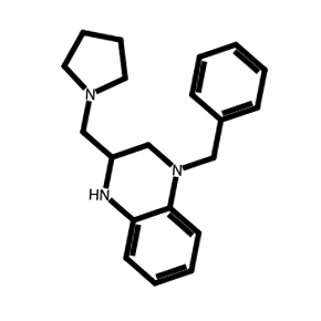 c1ccc(CN2CC(CN3CCCC3)Nc3ccccc32)cc1